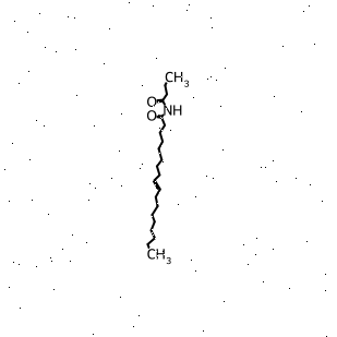 CCCCCCCCC=CCCCCCCCC(=O)NC(=O)CCC